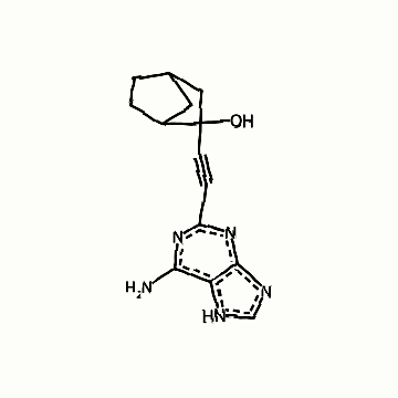 Nc1nc(C#CC2(O)CC3CCC2C3)nc2nc[nH]c12